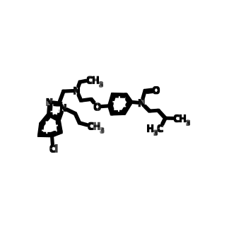 CCCn1c(CN(CC)CCOc2ccc(N(C=O)CCC(C)C)cc2)nc2ccc(Cl)cc21